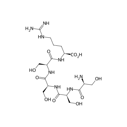 N=C(N)NCCC[C@H](NC(=O)[C@H](CO)NC(=O)[C@H](CO)NC(=O)[C@H](CO)NC(=O)[C@@H](N)CO)C(=O)O